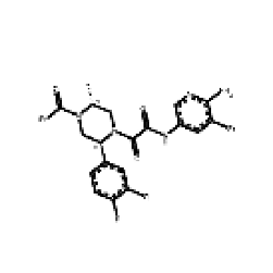 CCc1cc(NC(=O)C(=O)N2C[C@@H](C)N(C(=O)C(C)C)C[C@@H]2c2ccc(F)c(Cl)c2)cnc1N